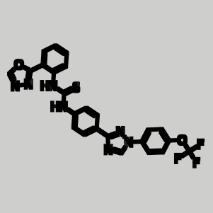 FC(F)(F)Oc1ccc(-n2cnc(-c3ccc(NC(=S)Nc4ccccc4-c4nnco4)cc3)n2)cc1